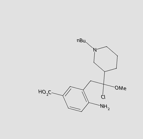 CCCCN1CCCC(C(Cl)(Cc2cc(C(=O)O)ccc2N)OC)C1